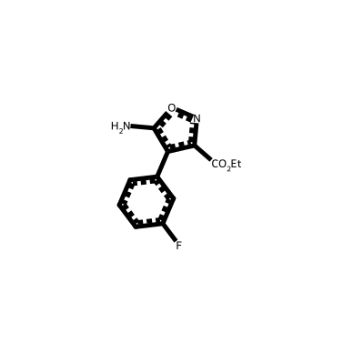 CCOC(=O)c1noc(N)c1-c1cccc(F)c1